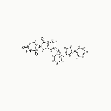 O=C1CCC(N2Cc3cc(O[C@@H]4CCCC[C@H]4N4CCC(c5ccccc5)C4)ccc3C2=O)C(=O)N1